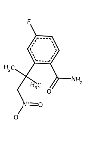 CC(C)(C[N+](=O)[O-])c1cc(F)ccc1C(N)=O